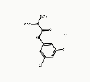 COC(C(=O)[O-])C(=O)Nc1cc(Cl)cc(Cl)c1.[K+]